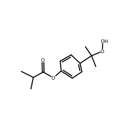 CC(C)C(=O)Oc1ccc(C(C)(C)OO)cc1